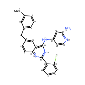 COc1cccc(Cc2ccc3nc(-c4ccccc4F)nc(Nc4ccncc4)c3c2)c1.N